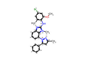 COc1cc(Br)cc(C)c1Nc1nc2cccc(-n3nc(C)cc3-c3ccccc3)c2n1C